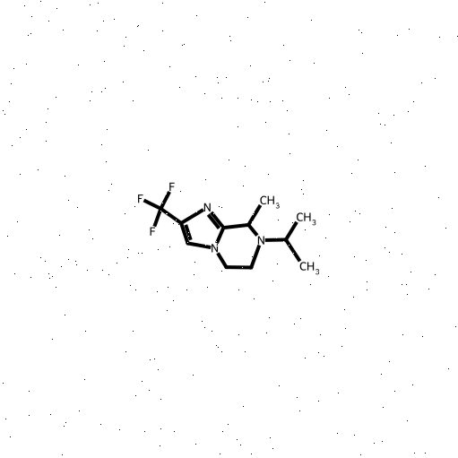 CC(C)N1CCn2cc(C(F)(F)F)nc2C1C